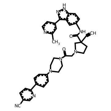 C#CC1(C(=O)Nc2ccc3[nH]nc(-c4ccnc(C)c4)c3c2)CCN(CC(=O)N2CCN(c3ccc(-c4ccc(C#N)cn4)cc3)CC2)C1